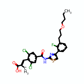 CCCCOCCCc1cccc(-c2csc(NC(=O)c3cc(Cl)c(C=C(C)C(=O)O)c(Cl)c3)n2)c1F